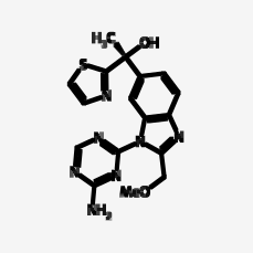 COCc1nc2ccc([C@@](C)(O)c3nccs3)cc2n1-c1ncnc(N)n1